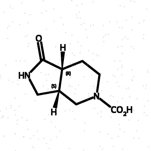 O=C1NC[C@H]2CN(C(=O)O)CC[C@@H]12